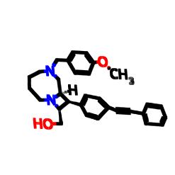 COc1ccc(CN2CCCCN3[C@H](CO)[C@H](c4ccc(C#Cc5ccccc5)cc4)[C@@H]3C2)cc1